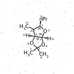 CCC[C@H]1O[C@@H]2OC(C)(C)O[C@@H]2C1C